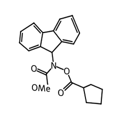 COC(=O)N(OC(=O)C1CCCC1)C1c2ccccc2-c2ccccc21